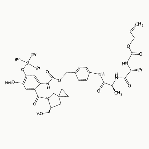 C=CCOC(=O)N[C@H](C(=O)N[C@@H](C)C(=O)Nc1ccc(COC(=O)Nc2cc(O[Si](C(C)C)(C(C)C)C(C)C)c(OC)cc2C(=O)N2CC3(CC3)C[C@H]2CO)cc1)C(C)C